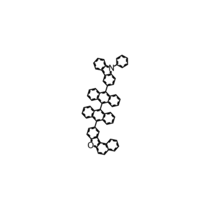 c1ccc(-n2c3ccccc3c3cc(-c4c5ccccc5c(-c5c6ccccc6c(-c6ccc7oc8ccc9ccccc9c8c7c6)c6ccccc56)c5ccccc45)ccc32)cc1